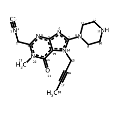 [C-]#[N+]Cc1nc2nc(N3CCNCC3)n(CC#CC)c2c(=O)n1C